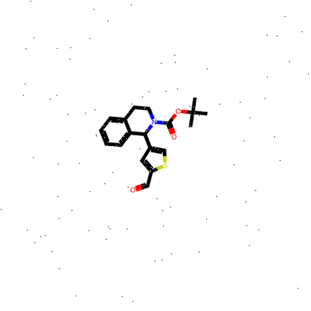 CC(C)(C)OC(=O)N1CCc2ccccc2C1c1csc(C=O)c1